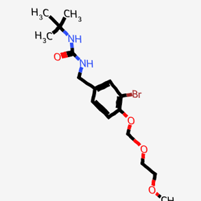 COCCOCOc1ccc(CNC(=O)NC(C)(C)C)cc1Br